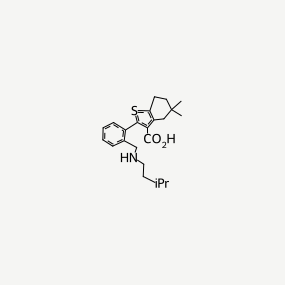 CC(C)CCNCc1ccccc1-c1sc2c(c1C(=O)O)CC(C)(C)CC2